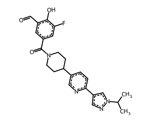 CC(C)n1cc(-c2ccc(C3CCN(C(=O)c4cc(F)c(O)c(C=O)c4)CC3)cn2)cn1